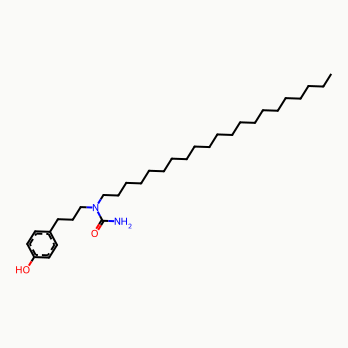 CCCCCCCCCCCCCCCCCCCCCN(CCCc1ccc(O)cc1)C(N)=O